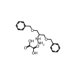 NNC(COCc1ccccc1)COCc1ccccc1.O=C(O)C(=O)O